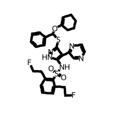 O=S(=O)(Nc1[nH]nc(SC(OC2=CCCCC2)c2ccccc2)c1-c1cnccn1)c1c(CCF)cccc1CCF